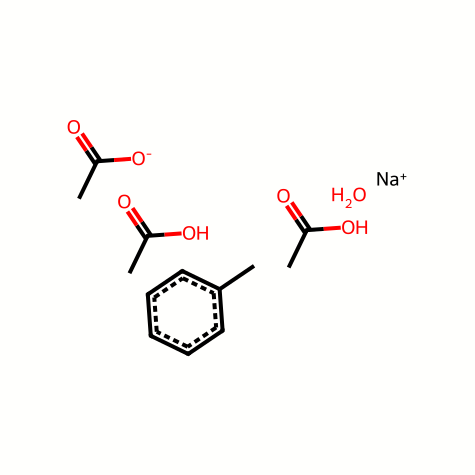 CC(=O)O.CC(=O)O.CC(=O)[O-].Cc1ccccc1.O.[Na+]